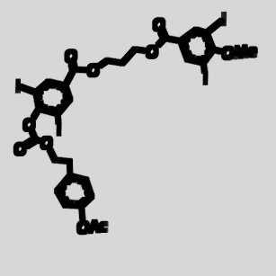 COc1c(I)cc(C(=O)OCCCOC(=O)c2cc(I)c(OC(=O)OCCc3ccc(OC(C)=O)cc3)c(I)c2)cc1I